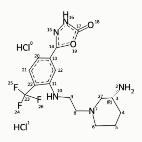 Cl.Cl.N[C@@H]1CCCN(CCNc2cc(-c3n[nH]c(=O)o3)ccc2C(F)(F)F)C1